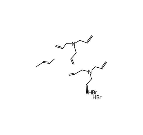 Br.Br.C=CCN(CC=C)CC=C.C=CCN(CC=C)CC=C.CC=CC